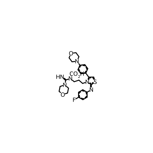 N=C(N1CCOCC1)N(CCCn1c(-c2ccc(N3CCOCC3)cc2)cs/c1=N/c1ccc(F)cc1)C(=O)O